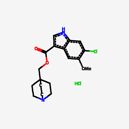 COc1cc2c(C(=O)OCC34CCN(CC3)CC4)c[nH]c2cc1Cl.Cl